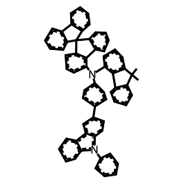 CC1(C)c2ccccc2-c2c(N(c3ccc(-c4ccc5c(c4)c4ccccc4n5-c4ccccc4)cc3)c3cccc4c3-c3ccccc3C43c4ccccc4-c4ccccc43)cccc21